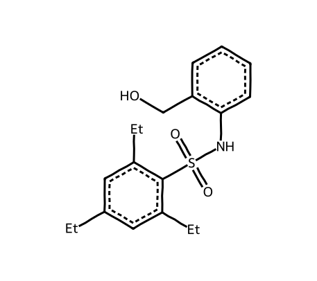 CCc1cc(CC)c(S(=O)(=O)Nc2ccccc2CO)c(CC)c1